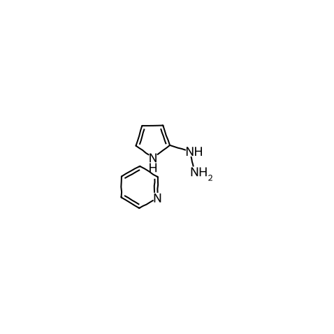 NNc1ccc[nH]1.c1ccncc1